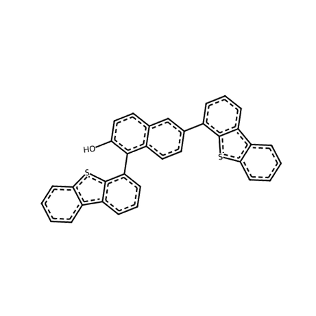 Oc1ccc2cc(-c3cccc4c3sc3ccccc34)ccc2c1-c1cccc2c1sc1ccccc12